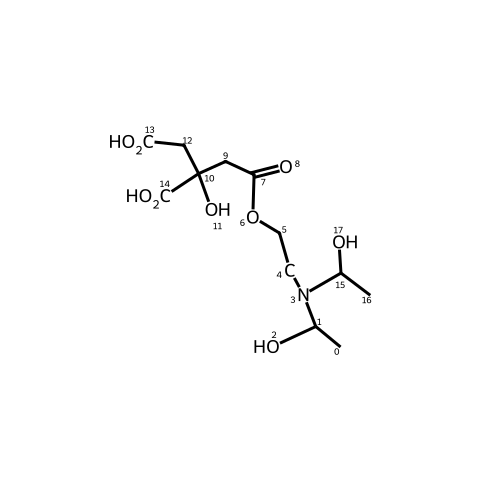 CC(O)N(CCOC(=O)CC(O)(CC(=O)O)C(=O)O)C(C)O